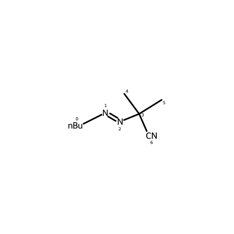 CCCCN=NC(C)(C)C#N